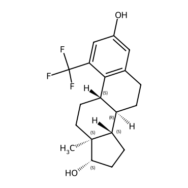 C[C@]12CC[C@@H]3c4c(cc(O)cc4C(F)(F)F)CC[C@H]3[C@@H]1CC[C@@H]2O